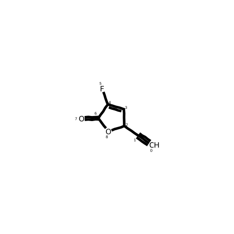 C#CC1C=C(F)C(=O)O1